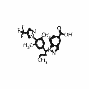 CCCC(c1cc(C)c(-n2cc(C(F)(F)F)cn2)c(C)c1)n1ncc2cc(C(=O)O)ccc21